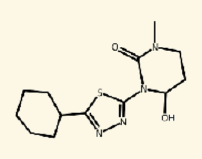 CN1CCC(O)N(c2nnc(C3CCCCC3)s2)C1=O